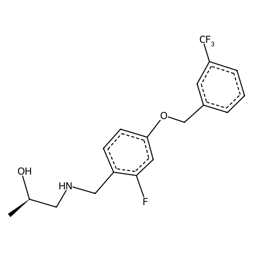 C[C@@H](O)CNCc1ccc(OCc2cccc(C(F)(F)F)c2)cc1F